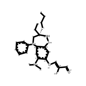 CCCC[C@@]1(CC)CN(c2ccccc2)c2cc(N(C)C)c(O/C=C(\F)C=O)cc2SN1